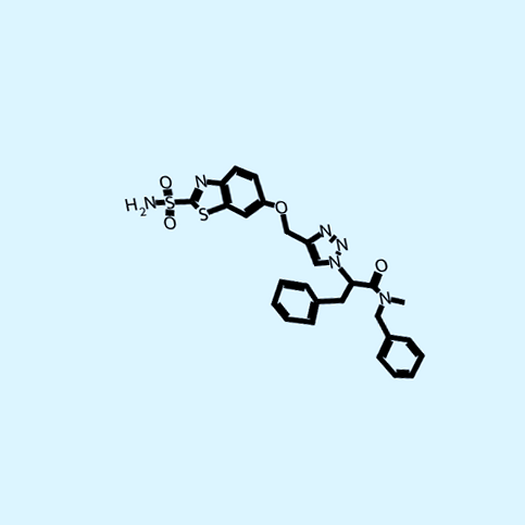 CN(Cc1ccccc1)C(=O)C(Cc1ccccc1)n1cc(COc2ccc3nc(S(N)(=O)=O)sc3c2)nn1